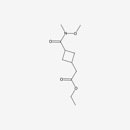 CCOC(=O)CC1CC(C(=O)N(C)OC)C1